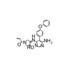 C=CC(=O)N1C[C@@H](O)[C@H](Nc2ncnc(N)c2-c2ccc(Oc3ccccc3)cc2)C1